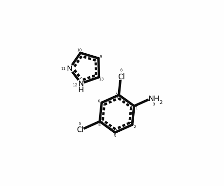 Nc1ccc(Cl)cc1Cl.c1cn[nH]c1